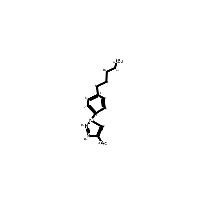 CC(=O)c1cn(-c2ccc(CCCCC(C)(C)C)cc2)nn1